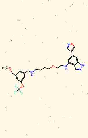 COCc1cc(CNCCCCOCCNc2cc(-c3cnoc3)cc3[nH]ncc23)cc(OC(F)(F)F)c1